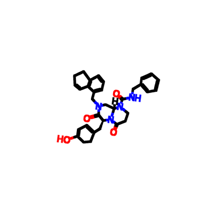 O=C1[C@H](CC2=CC=C(O)CC2)N2C(=O)CCN(C(=O)NCc3ccccc3)[C@H]2CN1Cc1cccc2c1C=CCC2